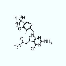 [2H]C([2H])([2H])c1cnc(CN2CC(CC(N)=O)c3c(Cl)nc(N)nc32)c(C)c1OC